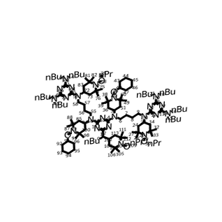 CCCCC(c1nc(N(CCCCN(c2nc(N(CCCC)CCCC)nc(N(CCCC)CCCC)n2)C2CC(C)(C)N(OCCC)C(C)(C)C2)C2CC(C)(C)N(OC3CCCCC3)C(C)(C)C2)nc(N(CCCCN(c2nc(N(CCCC)CCCC)nc(N(CCCC)CCCC)n2)C2CC(C)(C)N(OCCC)C(C)(C)C2)C2CC(C)(C)N(OC3CCCCC3)C(C)(C)C2)n1)C1CC(C)(C)N(OCCC)C(C)(C)C1